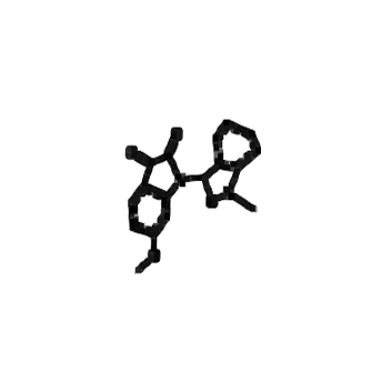 COc1ccc2c(c1)N(C1ON(C)c3ccccc31)C(=O)C2=O